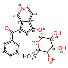 O=C(c1ccccc1)c1cc(O[C@H]2OC(S(=O)(=O)O)[C@H](O)[C@@H](O)[C@@H]2O)c2ccocc1-2